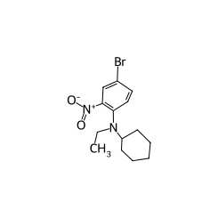 CCN(c1ccc(Br)cc1[N+](=O)[O-])C1CCCCC1